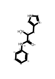 NC(Cc1c[nH]cn1)C(=O)Nc1ccccc1